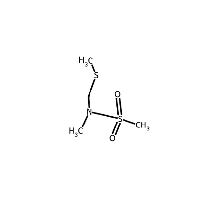 CSCN(C)S(C)(=O)=O